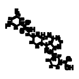 Nc1ncnc2c1c(-c1ccc(CNS(=O)(=O)c3cc(F)cc(F)c3)cc1)nn2[C@@H]1CCCN(C(=O)O)C1